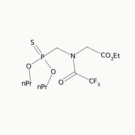 CCCOP(=S)(CN(CC(=O)OCC)C(=O)C(F)(F)F)OCCC